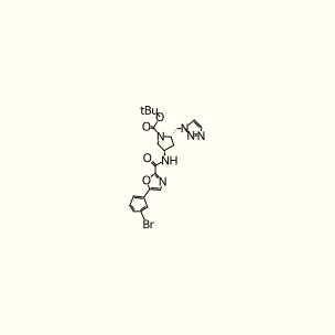 CC(C)(C)OC(=O)N1C[C@H](NC(=O)c2ncc(-c3cccc(Br)c3)o2)C[C@H]1Cn1ccnn1